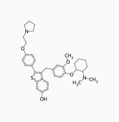 COc1cc(Cc2c(-c3ccc(OCCN4CCCC4)cc3)sc3cc(O)ccc23)ccc1OC1CCCCC1N(C)C